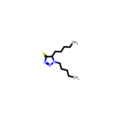 CCCCCC1C(=S)N=NN1CCCCC